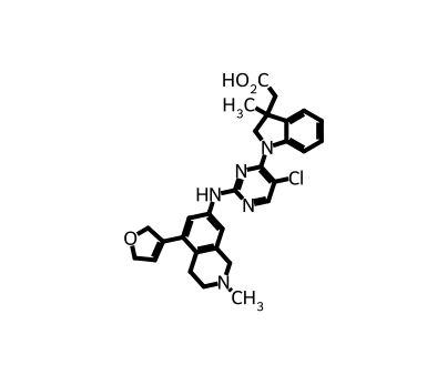 CN1CCc2c(cc(Nc3ncc(Cl)c(N4CC(C)(CC(=O)O)c5ccccc54)n3)cc2C2=CCOC2)C1